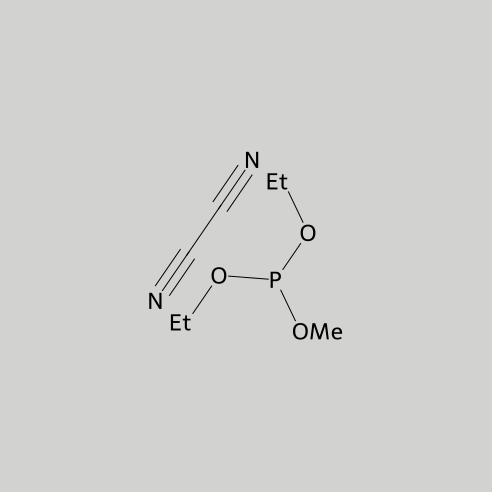 CCOP(OC)OCC.N#CC#N